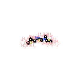 Bc1cc(B)c(-c2c(B)c(B)c(B)c3c2sc2c(B)c(B)c(B)c(B)c23)c(B)c1-c1ncnc2c1sc1ccc(-n3c4c(B)c(B)c(B)c(B)c4c4c5sc6c(B)c(B)c(B)c(B)c6c5c(B)c(B)c43)cc12